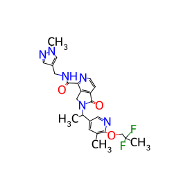 Cc1cc(C(C)N2Cc3c(ccnc3C(=O)NCc3cnn(C)c3)C2=O)cnc1OCC(C)(F)F